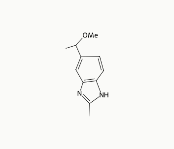 COC(C)c1ccc2[nH]c(C)nc2c1